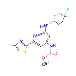 Cc1csc(-c2cc(NC(=O)OC(C)(C)C)cc(NC3CCC(F)(F)CC3)n2)n1